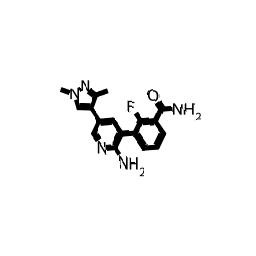 Cc1nn(C)cc1-c1cnc(N)c(-c2cccc(C(N)=O)c2F)c1